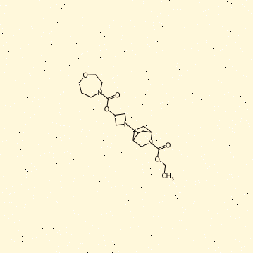 CCOC(=O)N1CC2CCC1CC2N1CC(OC(=O)N2CCCOCC2)C1